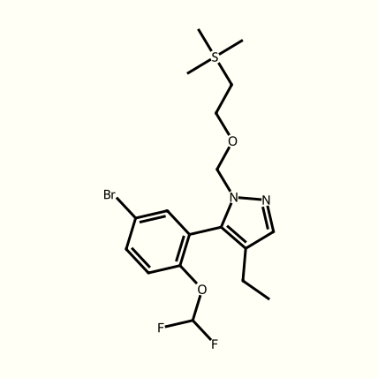 CCc1cnn(COCCS(C)(C)C)c1-c1cc(Br)ccc1OC(F)F